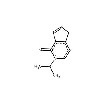 CC(C)n1ccc2c(c1=O)C=CC2